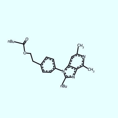 CCCCC(=O)OCCc1ccc(-n2c(CCCC)nc3c(C)nc(C)cc32)cc1